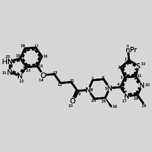 CCCc1cc2c(N3CCN(C(=O)CCCOc4cccc5[nH]nnc45)C[C@@H]3C)nc(C)nc2s1